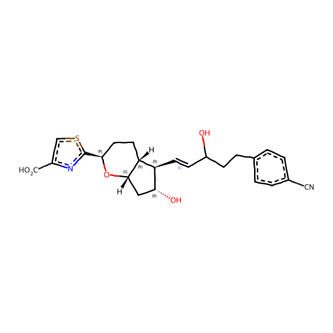 N#Cc1ccc(CCC(O)/C=C/[C@@H]2[C@H]3CC[C@H](c4nc(C(=O)O)cs4)O[C@H]3C[C@H]2O)cc1